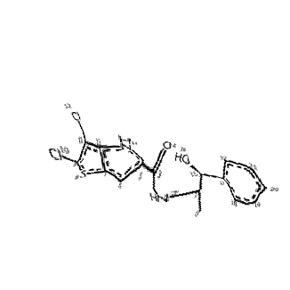 CC(NC(=O)c1cc2sc(Cl)c(Cl)c2[nH]1)[C@@H](O)c1ccccc1